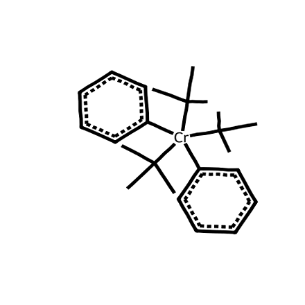 C[C](C)(C)[Cr]([c]1ccccc1)([c]1ccccc1)([C](C)(C)C)[C](C)(C)C